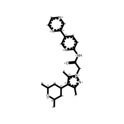 Cc1nn(CC(=O)Nc2ccc(-c3cnccn3)cn2)c(C)c1C1CC(C)OC(C)C1